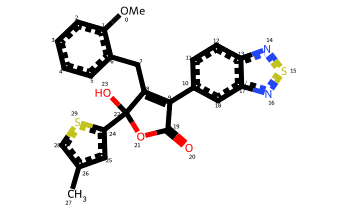 COc1ccccc1CC1=C(c2ccc3nsnc3c2)C(=O)OC1(O)c1cc(C)cs1